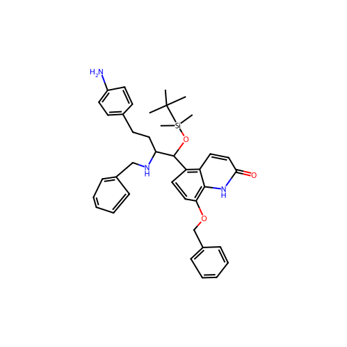 CC(C)(C)[Si](C)(C)OC(c1ccc(OCc2ccccc2)c2[nH]c(=O)ccc12)C(CCc1ccc(N)cc1)NCc1ccccc1